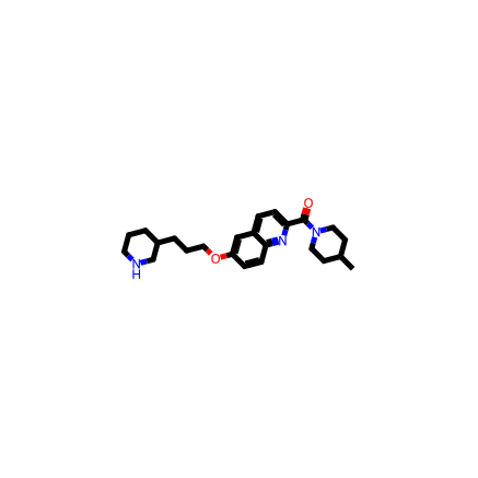 CC1CCN(C(=O)c2ccc3cc(OCCCC4CCCNC4)ccc3n2)CC1